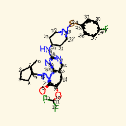 CC1CCCC1n1c(=O)c(OC(F)F)cc2cnc(NC3CCN(Sc4ccc(F)cc4)CC3)nc21